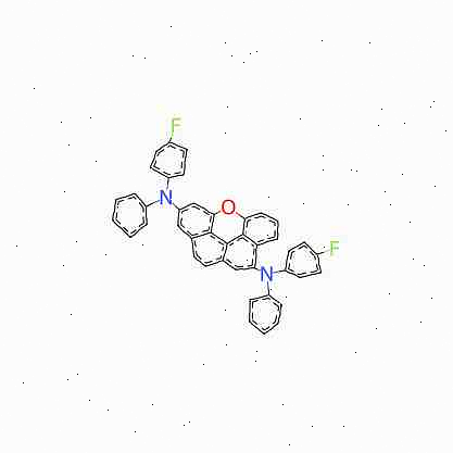 Fc1ccc(N(c2ccccc2)c2cc3c4c(ccc5cc(N(c6ccccc6)c6ccc(F)cc6)c6cccc(c6c54)O3)c2)cc1